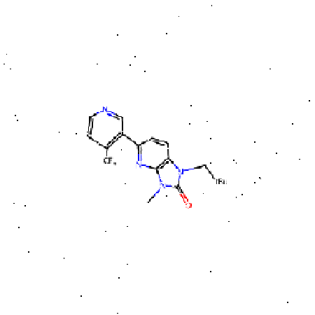 Cn1c(=O)n(CC(C)(C)C)c2ccc(-c3cnccc3C(F)(F)F)nc21